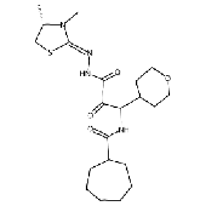 C[C@H]1CS/C(=N\NC(=O)C(=O)C(NC(=O)C2CCCCCC2)C2CCOCC2)N1C